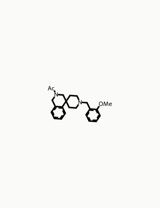 COc1ccccc1CN1CCC2(CC1)CN(C(C)=O)Cc1ccccc12